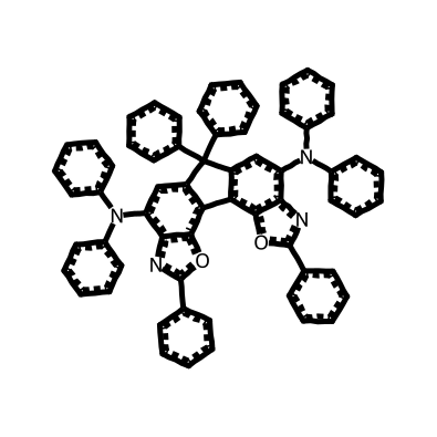 c1ccc(-c2nc3c(N(c4ccccc4)c4ccccc4)cc4c(c3o2)-c2c(cc(N(c3ccccc3)c3ccccc3)c3nc(-c5ccccc5)oc23)C4(c2ccccc2)c2ccccc2)cc1